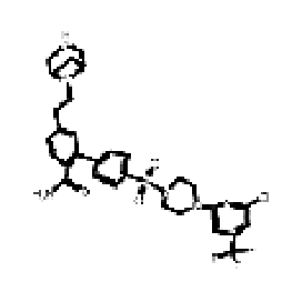 NC(=O)c1ccc(CCN2C3CNCC2C3)cc1-c1ccc(S(=O)(=O)N2CCN(c3cc(C(F)(F)F)cc(Cl)n3)CC2)cc1